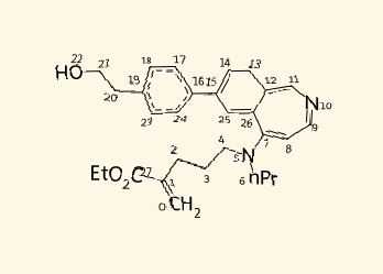 C=C(CCCN(CCC)C1=CC=NC=C2CC=C(c3ccc(CCO)cc3)C=C21)C(=O)OCC